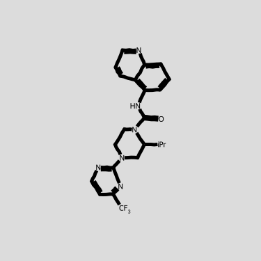 CC(C)C1CN(c2nccc(C(F)(F)F)n2)CCN1C(=O)Nc1cccc2ncccc12